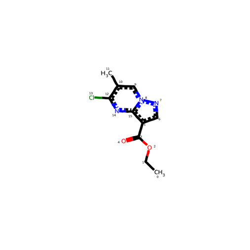 CCOC(=O)c1cnn2cc(C)c(Cl)nc12